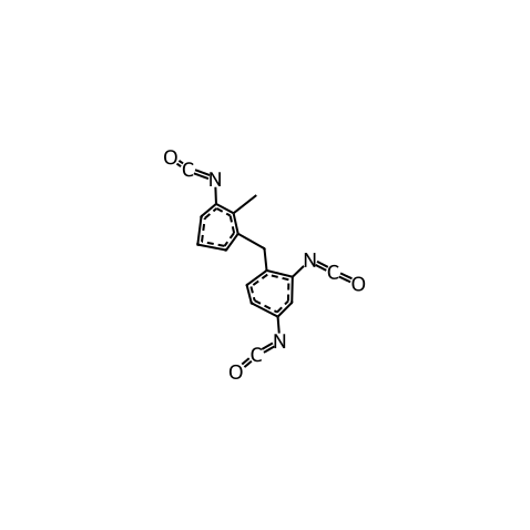 Cc1c(Cc2ccc(N=C=O)cc2N=C=O)cccc1N=C=O